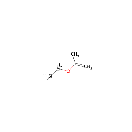 C=C(C)O[SiH2][SiH3]